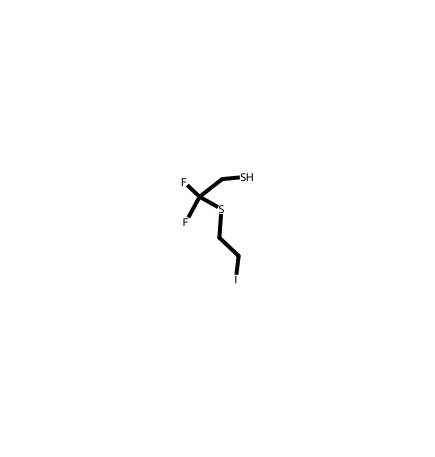 FC(F)(CS)SCCI